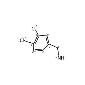 [NH]Cc1ccc(Cl)c(Cl)c1